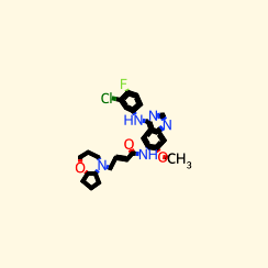 COc1cc2ncnc(Nc3ccc(F)c(Cl)c3)c2cc1NC(=O)/C=C/CN1CCCOC2CCCC21